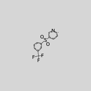 O=S(=O)(c1cc[c]nc1)c1cccc(C(F)(F)F)c1